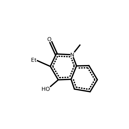 CCc1c(O)c2ccccc2n(C)c1=O